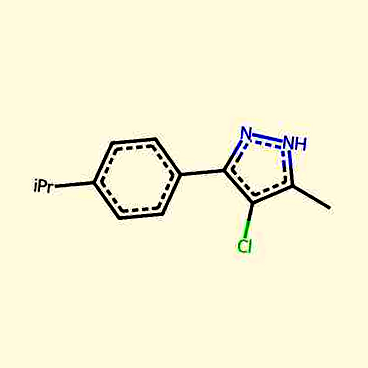 Cc1[nH]nc(-c2ccc(C(C)C)cc2)c1Cl